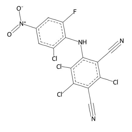 N#Cc1c(Cl)c(Cl)c(Nc2c(F)cc([N+](=O)[O-])cc2Cl)c(C#N)c1Cl